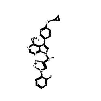 C[C@@H](c1cn(-c2ccccc2F)nn1)n1cc(-c2ccc(OC3CC3)cc2)c2c(N)ncnc21